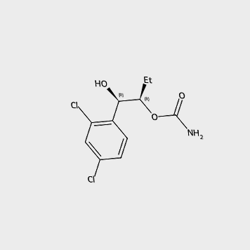 CC[C@@H](OC(N)=O)[C@H](O)c1ccc(Cl)cc1Cl